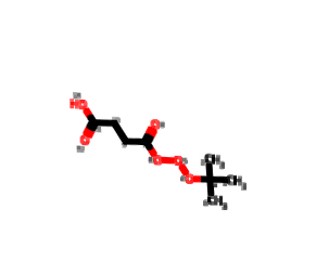 CC(C)(C)OOOC(=O)CCC(=O)O